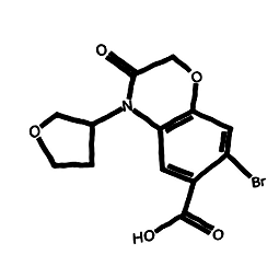 O=C(O)c1cc2c(cc1Br)OCC(=O)N2C1CCOC1